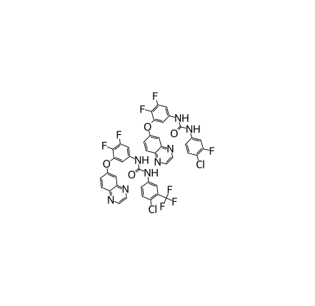 O=C(Nc1cc(F)c(F)c(Oc2ccc3nccnc3c2)c1)Nc1ccc(Cl)c(C(F)(F)F)c1.O=C(Nc1ccc(Cl)c(F)c1)Nc1cc(F)c(F)c(Oc2ccc3nccnc3c2)c1